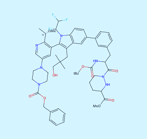 COC(=O)C1CCCN(C(=O)C(Cc2cccc(-c3ccc4c(c3)c(CC(C)(C)CO)c(-c3cc(N5CCN(C(=O)OCc6ccccc6)CC5)cnc3[C@H](C)OC)n4C(F)C(F)F)c2)NC(=O)OC(C)(C)C)N1